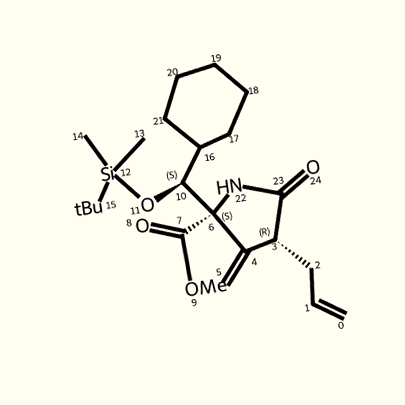 C=CC[C@@H]1C(=C)[C@@](C(=O)OC)([C@@H](O[Si](C)(C)C(C)(C)C)C2CCCCC2)NC1=O